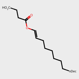 CCCCCCCCCCCCCCCCC=COC(=O)CCC(=O)O